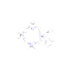 C#CC1=C(c2ccccc2)C2=NC1=CC1=NC(=CC3=NC(=CC4=NC(=C2)C=C4)C=C3)C=C1